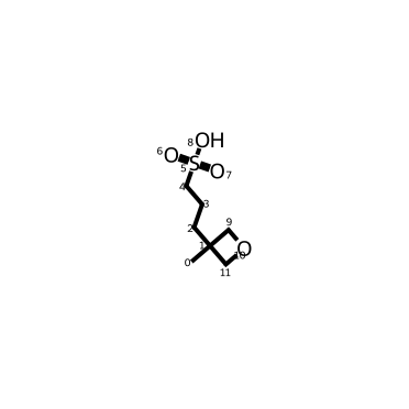 CC1(CCCS(=O)(=O)O)COC1